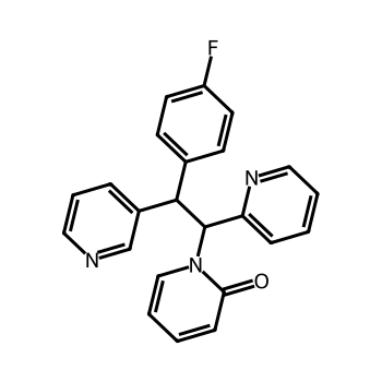 O=c1ccccn1C(c1ccccn1)C(c1ccc(F)cc1)c1cccnc1